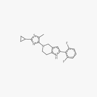 Cc1sc(C2CC2)nc1N1CCc2[nH]c(-c3c(F)cccc3F)cc2C1